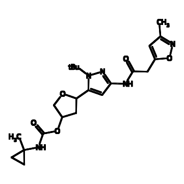 Cc1cc(CC(=O)Nc2cc(C3CC(OC(=O)NC4(C)CC4)CO3)n(C(C)(C)C)n2)on1